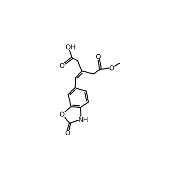 COC(=O)C/C(=C\c1ccc2[nH]c(=O)oc2c1)CC(=O)O